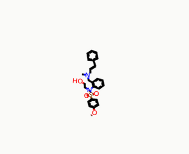 COc1ccc(S(=O)(=O)N(CCO)c2ccccc2CN(C)C/C=C/c2ccccc2)cc1